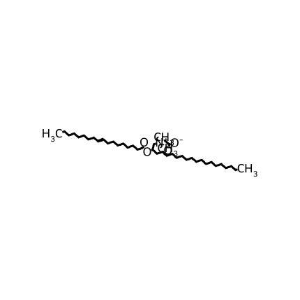 CCCCCCCCC=CCCCCCCCC(=O)OC(CCCCCCCCCCCCCCCCCC)C[N+](C)(C)CC(=O)[O-]